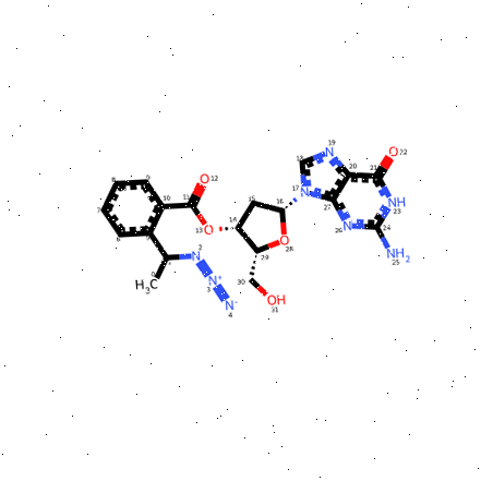 CC(N=[N+]=[N-])c1ccccc1C(=O)O[C@@H]1C[C@H](n2cnc3c(=O)[nH]c(N)nc32)O[C@@H]1CO